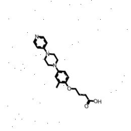 Cc1cc(N2CCN(c3ccncc3)CC2)ccc1OCCCC(=O)O